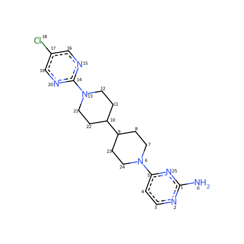 Nc1nccc(N2CCC(C3CCN(c4ncc(Cl)cn4)CC3)CC2)n1